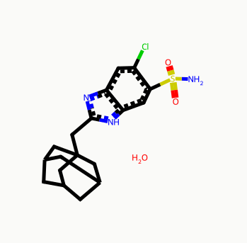 NS(=O)(=O)c1cc2[nH]c(CC34CC5CC(CC(C5)C3)C4)nc2cc1Cl.O